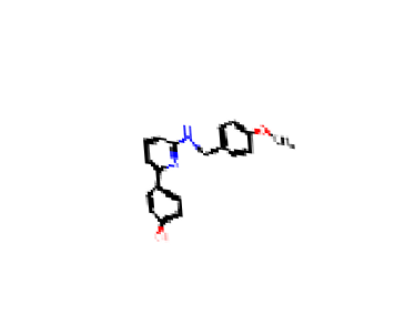 COc1ccc(CNc2cccc(-c3ccc(O)cc3)n2)cc1